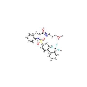 COCCCNC(=O)[C@@H]1Cc2ccccc2N1S(=O)(=O)c1ccc(-c2ccccc2C(F)(F)F)cc1